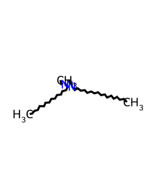 CCCCCCCCCCCCCCCCCn1cc[n+](CC)c1CCCCCCCCCCCCCC